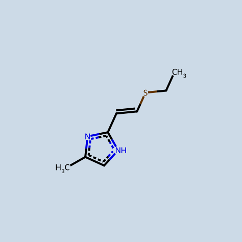 CCSC=Cc1nc(C)c[nH]1